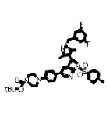 Cc1ccc(S(=O)(=O)n2cc(-c3c(C)nn(Cc4cc(F)cc(F)c4)c3C)c3cc(-c4ccc(N5CCN(C(=O)OC(C)(C)C)CC5)cc4)cnc32)cc1